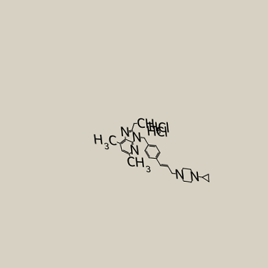 CCc1nc2c(C)cc(C)nc2n1Cc1ccc(/C=C/CN2CCN(C3CC3)CC2)cc1.Cl.Cl